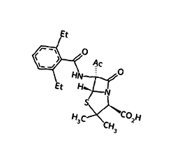 CCc1cccc(CC)c1C(=O)N[C@@]1(C(C)=O)C(=O)N2[C@@H](C(=O)O)C(C)(C)S[C@@H]21